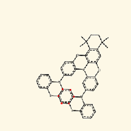 CC1(C)CCC(C)(C)c2c1cc1c3c2Oc2ccc(N4c5ccccc5Sc5ccccc54)cc2B3c2cc(N3c4ccccc4Sc4ccccc43)ccc2O1